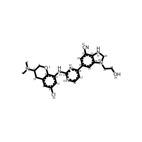 CN(C)C1COc2c(cc(Cl)cc2Nc2nccc(-c3cc(C#N)c4c(c3)N(CCO)CN4)n2)C1